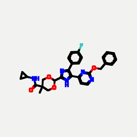 CC1(C(=O)NC2CC2)COC(c2nc(-c3ccc(F)cc3)c(-c3ccnc(OCc4ccccc4)n3)[nH]2)OC1